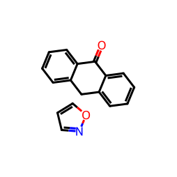 O=C1c2ccccc2Cc2ccccc21.c1cnoc1